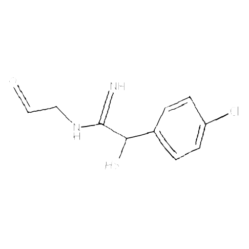 N=C(NC[C]=O)C(S)c1ccc(Cl)cc1